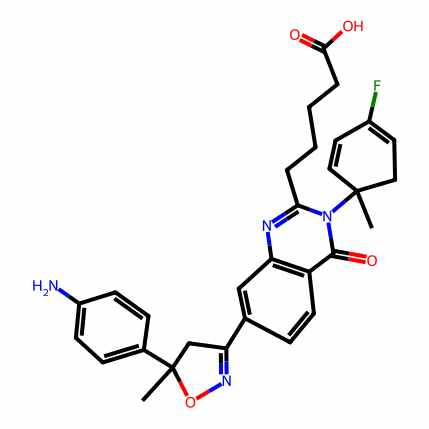 CC1(c2ccc(N)cc2)CC(c2ccc3c(=O)n(C4(C)C=CC(F)=CC4)c(CCCCC(=O)O)nc3c2)=NO1